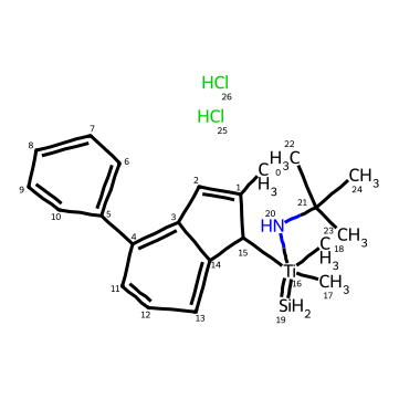 CC1=Cc2c(-c3ccccc3)cccc2[CH]1[Ti]([CH3])([CH3])(=[SiH2])[NH]C(C)(C)C.Cl.Cl